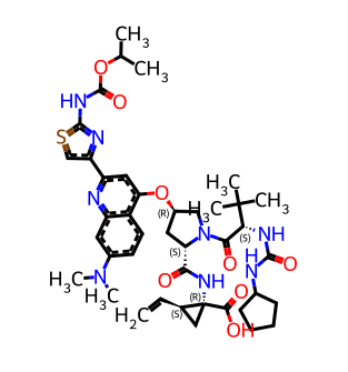 C=C[C@@H]1C[C@]1(NC(=O)[C@@H]1C[C@@H](Oc2cc(-c3csc(NC(=O)OC(C)C)n3)nc3cc(N(C)C)ccc23)CN1C(=O)[C@@H](NC(=O)NC1CCCC1)C(C)(C)C)C(=O)O